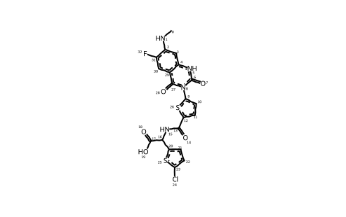 CNc1cc2[nH]c(=O)n(-c3ccc(C(=O)NC(C(=O)O)c4ccc(Cl)s4)s3)c(=O)c2cc1F